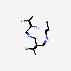 CC=C/N=C\C(C/N=C\C(N)=C(\C)CC)=C(/C)CC